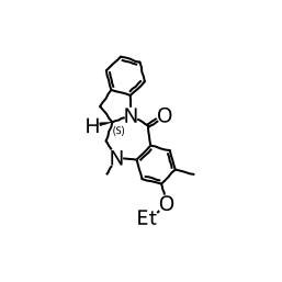 CCOc1cc2c(cc1C)C(=O)N1c3ccccc3C[C@H]1CN2C